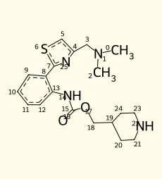 CN(C)Cc1csc(-c2ccccc2NC(=O)OCC2CCNCC2)n1